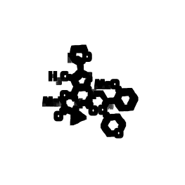 CNC(=O)C1(n2c(=O)c3c(C)c(-c4ncco4)sc3n(C[C@H](OC3CCOCC3)c3ccccc3OC)c2=O)CC1